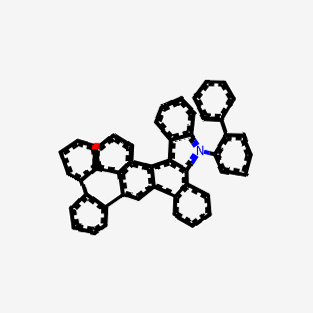 c1ccc(-c2ccccc2-c2cc3c4ccccc4c4c(c5ccccc5n4-c4ccccc4-c4ccccc4)c3c3ccccc23)cc1